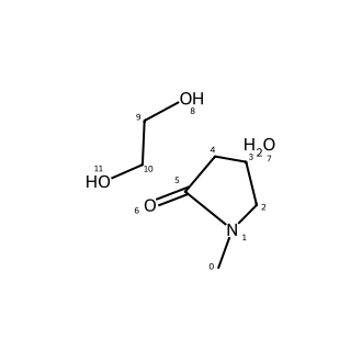 CN1CCCC1=O.O.OCCO